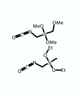 CCO[Si](C)(CN=C=O)OCC.COC[Si](CN=C=O)(OC)OC